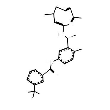 Cc1ccc(NC(=O)c2cccc(C(F)(F)F)c2)cc1[C@H](C)NC1=C/C(C)C/C=C/C(Cl)=N\1